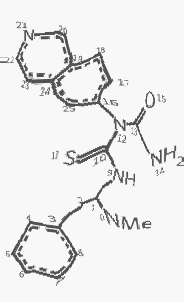 CNC(Cc1ccccc1)NC(=S)N(C(N)=O)c1ccc2cnccc2c1